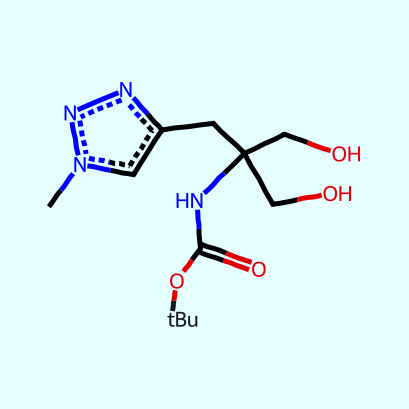 Cn1cc(CC(CO)(CO)NC(=O)OC(C)(C)C)nn1